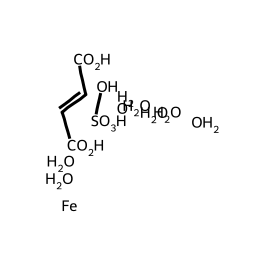 O.O.O.O.O.O.O.O=C(O)/C=C/C(=O)O.O=S(=O)(O)O.[Fe]